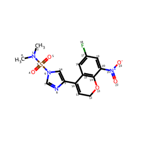 CN(C)S(=O)(=O)n1cnc(C2=CCOc3c2cc(F)cc3[N+](=O)[O-])c1